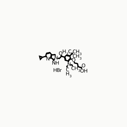 Br.CCN(CC)c1cc(C(=O)CN2Cc3ccc(C4CC4)nc3C2=N)cc(C(C)(C)C)c1OCCCC(=O)O